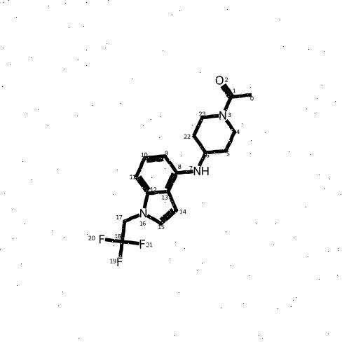 CC(=O)N1CCC(Nc2cccc3c2ccn3CC(F)(F)F)CC1